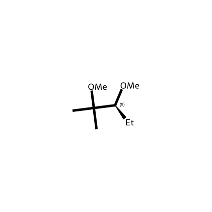 CC[C@H](OC)C(C)(C)OC